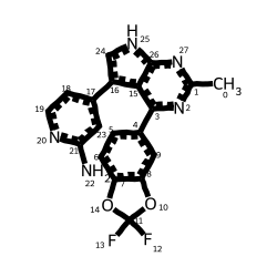 Cc1nc(-c2ccc3c(c2)OC(F)(F)O3)c2c(-c3ccnc(N)c3)c[nH]c2n1